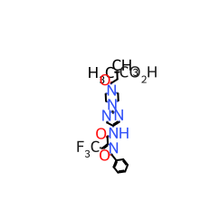 CC(C)(CC(=O)N1CCN(c2ncc(NC(=O)c3nc(-c4ccccc4)oc3C(F)(F)F)cn2)CC1)C(=O)O